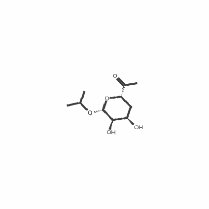 CC(=O)[C@@H]1C[C@@H](O)[C@@H](O)[C@H](OC(C)C)O1